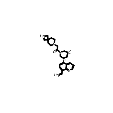 C[C@@H]1C[C@H](c2ccc(C=N)c3ncccc23)CN(C(=O)CN2CCC3(CC2)CNC3)C1